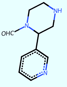 O=CN1CCNCC1c1cccnc1